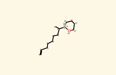 C=CCCCCCC(C)[SiH]1CCCCO1